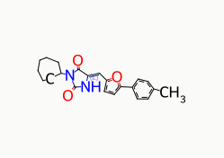 Cc1ccc(-c2ccc(/C=C3\NC(=O)N(C4CCCCCC4)C3=O)o2)cc1